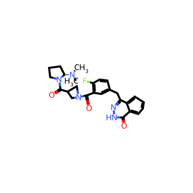 CN(C)[C@H]1CCCN1C(=O)C1CN(C(=O)c2cc(Cc3n[nH]c(=O)c4ccccc34)ccc2F)C1